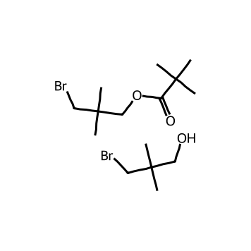 CC(C)(CBr)COC(=O)C(C)(C)C.CC(C)(CO)CBr